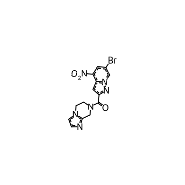 O=C(c1cc2c([N+](=O)[O-])cc(Br)cn2n1)N1CCn2ccnc2C1